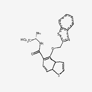 CC(C)(C)[C@H](NC(=O)C1=C(OCc2nc3ccccc3s2)C2C=CSC2C=C1)C(=O)O